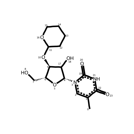 Cc1cn([C@@H]2O[C@H](CO)[C@@H](OC3CCCCO3)C2O)c(=O)[nH]c1=O